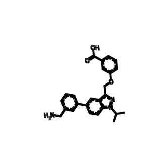 CC(C)n1nc(COc2cccc(C(=O)O)c2)c2cc(-c3cccc(CN)c3)ccc21